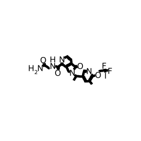 Cc1cc(C(C)N2Cc3c(ccnc3C(=O)NCC(N)=O)C2=O)cnc1OCC(F)(F)I